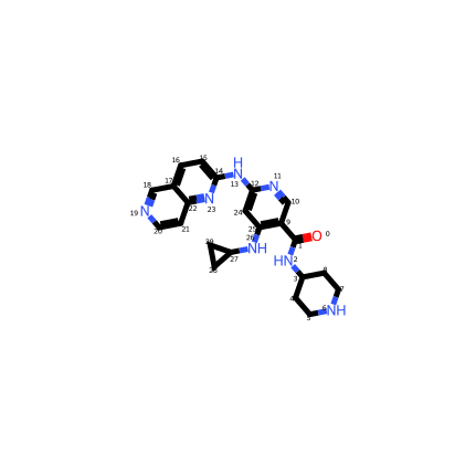 O=C(NC1CCNCC1)c1cnc(Nc2ccc3cnccc3n2)cc1NC1CC1